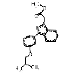 COC(=O)Cn1nc(-c2cccc(OCC(C)C)c2)c2ccccc21